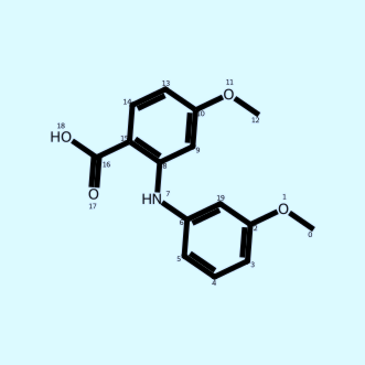 COc1cccc(Nc2cc(OC)ccc2C(=O)O)c1